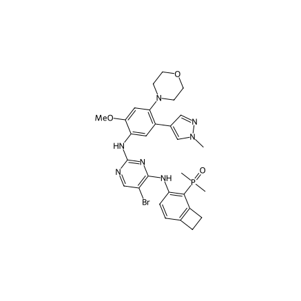 COc1cc(N2CCOCC2)c(-c2cnn(C)c2)cc1Nc1ncc(Br)c(Nc2ccc3c(c2P(C)(C)=O)CC3)n1